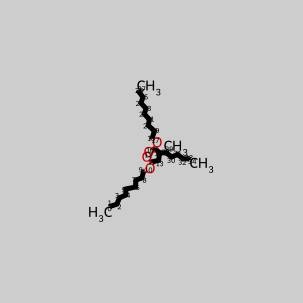 CCCCCCCCCCOC(=O)CC(C(=O)OCCCCCCCCCC)C(C)CCCCC